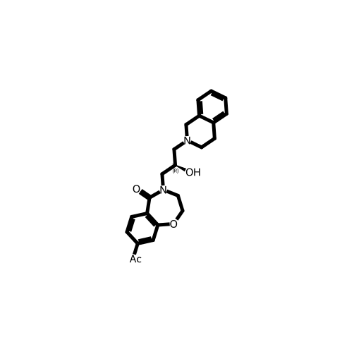 CC(=O)c1ccc2c(c1)OCCN(C[C@H](O)CN1CCc3ccccc3C1)C2=O